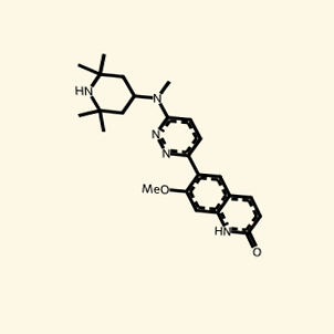 COc1cc2[nH]c(=O)ccc2cc1-c1ccc(N(C)C2CC(C)(C)NC(C)(C)C2)nn1